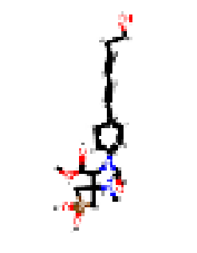 CNC1(C(C(=O)OC)N(C=O)c2ccc(C#CC#CCCO)cc2)CS(=O)(=O)C1